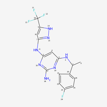 CC(Nc1cc(Nc2cc(C(F)(F)F)[nH]n2)nc(N)n1)c1ccc(F)cc1